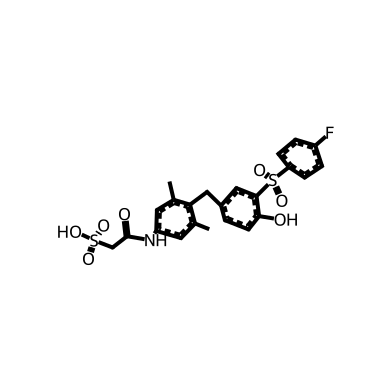 Cc1cc(NC(=O)CS(=O)(=O)O)cc(C)c1Cc1ccc(O)c(S(=O)(=O)c2ccc(F)cc2)c1